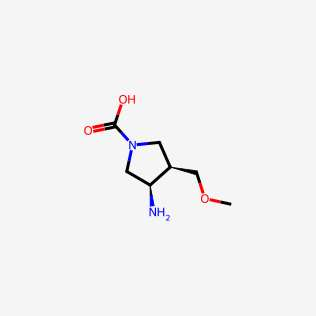 COC[C@@H]1CN(C(=O)O)C[C@@H]1N